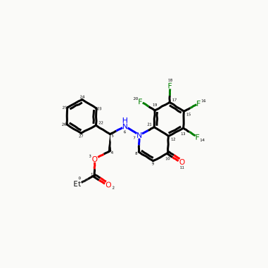 CCC(=O)OC[C@H](Nn1ccc(=O)c2c(F)c(F)c(F)c(F)c21)c1ccccc1